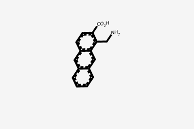 NCc1c(C(=O)O)ccc2cc3ccccc3cc12